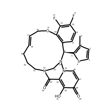 Cc1ccsc1[C@@H]1c2ccc(F)c(F)c2OC/C=C/CCCN2CN1n1ccc(=O)c(O)c1C2=O